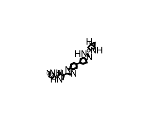 C[C@@H]1CC[C@@H](c2nc(-c3cnc4cc(-c5ccc6nc([C@@H]7C[C@H]8CC8N7)[nH]c6c5)ccc4n3)c[nH]2)N1